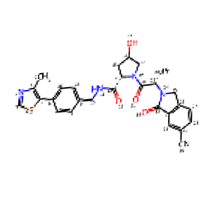 Cc1ncsc1-c1ccc(CNC(=O)[C@@H]2C[C@@H](O)CN2C(=O)[C@H](C(C)C)N2Cc3ccc(C#N)cc3C2=O)cc1